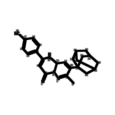 CC1=NN2C(=O)C=C(c3ccc(C#N)cc3)NC2C=C1C12CC3CC(CC(C3)C1)C2